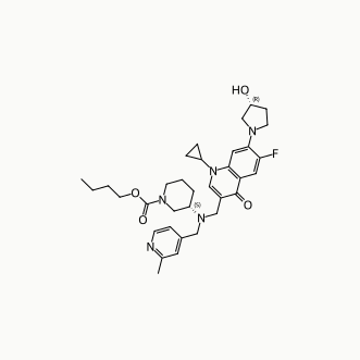 CCCCOC(=O)N1CCC[C@H](N(Cc2ccnc(C)c2)Cc2cn(C3CC3)c3cc(N4CC[C@@H](O)C4)c(F)cc3c2=O)C1